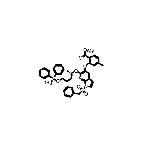 COC(=O)c1ccc(F)cc1Oc1cc2ccn(S(=O)(=O)Cc3ccccc3)c2nc1O[C@H](C)CCCO[Si](c1ccccc1)(c1ccccc1)C(C)(C)C